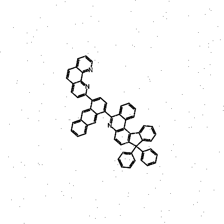 c1ccc(C2(c3ccccc3)c3ccccc3-c3c2ccc2nc(-c4ccc(-c5ccc6ccc7cccnc7c6n5)c5cc6ccccc6cc45)c4ccccc4c32)cc1